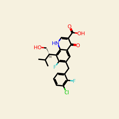 CC(C)[C@H](CO)c1c(F)c(Cc2cccc(Cl)c2F)cc2c(=O)c(C(=O)O)c[nH]c12